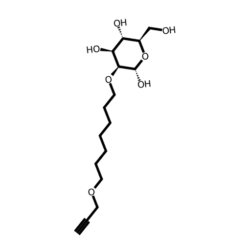 C#CCOCCCCCCCO[C@H]1[C@@H](O)[C@H](O)[C@@H](CO)O[C@@H]1O